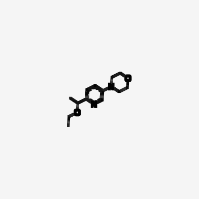 CCOC(C)c1ccc(N2CCOCC2)cn1